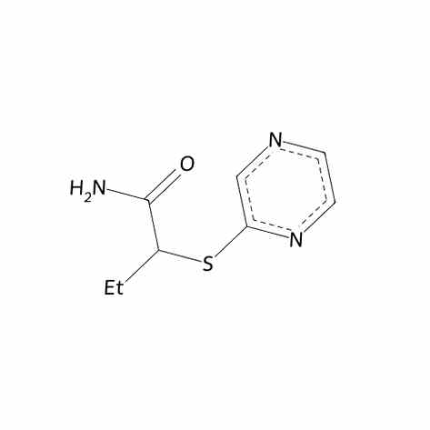 CCC(Sc1cnccn1)C(N)=O